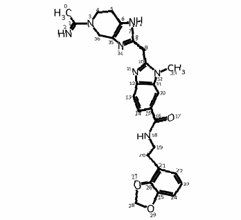 CC(=N)N1CCc2[nH]c(Cc3nc4ccc(C(=O)NCCc5cccc6c5OCO6)cc4n3C)nc2C1